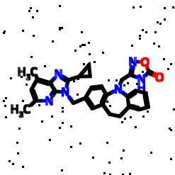 Cc1cc(C)c2nc(C3CC3)n(Cc3ccc4c(c3)CCc3ccccc3N4Cc3noc(=O)[nH]3)c2n1